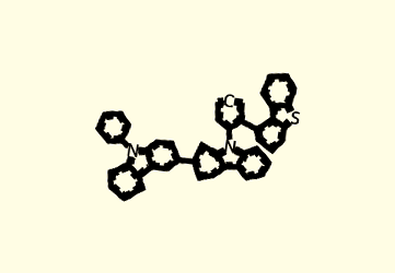 c1ccc(-n2c3ccccc3c3cc(-c4ccc5c6ccccc6n(-c6ccccc6-c6cccc7sc8ccccc8c67)c5c4)ccc32)cc1